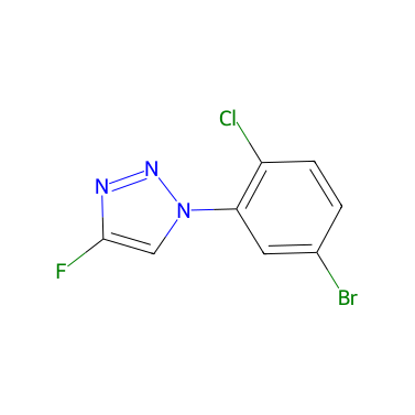 Fc1cn(-c2cc(Br)ccc2Cl)nn1